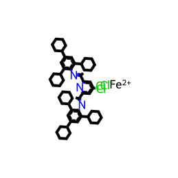 CC(=Nc1c(C2CCCCC2)cc(C2CCCCC2)cc1C1CCCCC1)c1cc(Cl)cc(C(C)=Nc2c(C3CCCCC3)cc(C3CCCCC3)cc2C2CCCCC2)n1.[Cl-].[Cl-].[Fe+2]